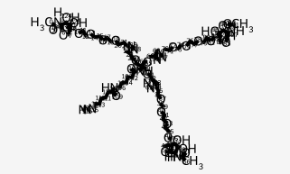 CC(=O)N[C@H]1[C@H]2OC[C@](COCCOCCOCCOCCn3cc(COCC(COCc4cn(CCOCCOCCOCCOC[C@@]56CO[C@@H](O5)[C@H](NC(C)=O)[C@@H](O)[C@H]6O)nn4)(COCc4cn(CCOCCOCCOCCOC[C@@]56CO[C@@H](O5)[C@H](NC(C)=O)[C@@H](O)[C@H]6O)nn4)NC(=O)CCCCCNC(=O)CCCCCN=[N+]=[N-])nn3)(O2)[C@H](O)[C@@H]1O